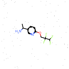 CC(N)c1ccc(OCC(F)(F)C(F)F)nc1